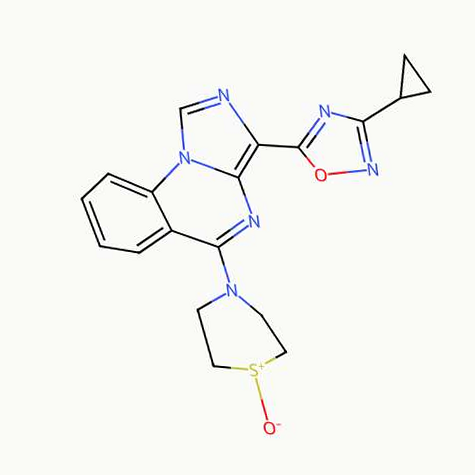 [O-][S+]1CCN(c2nc3c(-c4nc(C5CC5)no4)ncn3c3ccccc23)CC1